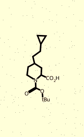 CC(C)(C)OC(=O)N1CCC(CCC2CC2)CC1C(=O)O